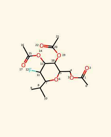 CC(=O)OCC1OC(C(C)C)C(F)C(OC(C)=O)C1OC(C)=O